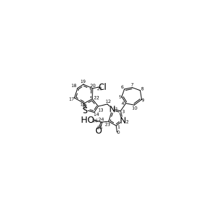 Cc1nc(C2=CC=CCC=C2)n(Cc2csc3cccc(Cl)c23)c1C(=O)O